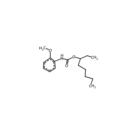 CCCCCC(CC)OC(=O)Nc1ccccc1OC